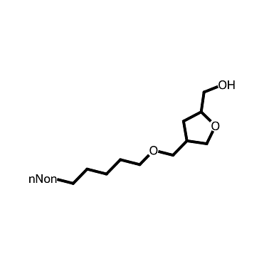 CCCCCCCCCCCCCCOCC1COC(CO)C1